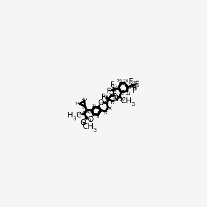 COC(=O)C(C)C(c1ccc2c(c1)OC(C1(F)CN([C@H](C)c3cc(C(F)(F)F)ccc3C(F)(F)F)C1)CC2)C1CC1